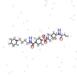 C=CC(=O)Nc1cc2c(s1)CN(S(=O)(=O)c1ccc(C(=O)NCCCCc3ccccc3)cc1)C2